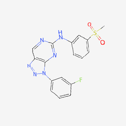 CS(=O)(=O)c1cccc(Nc2ncc3nnn(-c4cccc(F)c4)c3n2)c1